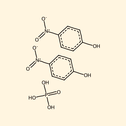 O=P(O)(O)O.O=[N+]([O-])c1ccc(O)cc1.O=[N+]([O-])c1ccc(O)cc1